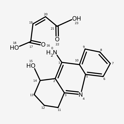 Nc1c2c(nc3ccccc13)CCCC2O.O=C(O)/C=C\C(=O)O